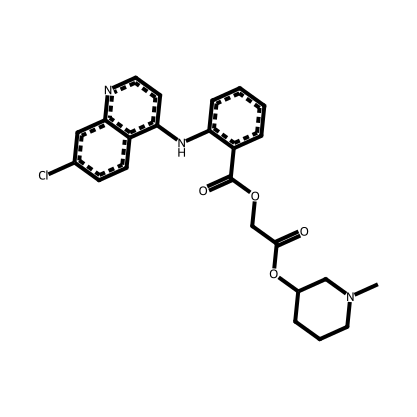 CN1CCCC(OC(=O)COC(=O)c2ccccc2Nc2ccnc3cc(Cl)ccc23)C1